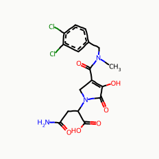 CN(Cc1ccc(Cl)c(Cl)c1)C(=O)C1=C(O)C(=O)N(C(CC(N)=O)C(=O)O)C1